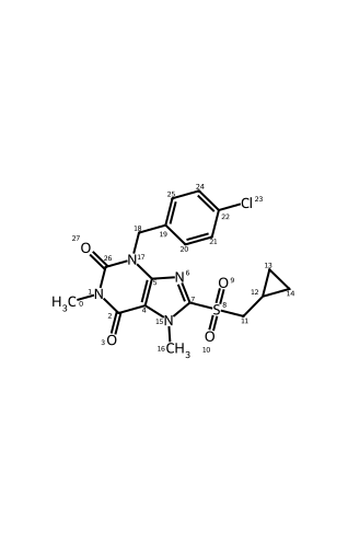 Cn1c(=O)c2c(nc(S(=O)(=O)CC3CC3)n2C)n(Cc2ccc(Cl)cc2)c1=O